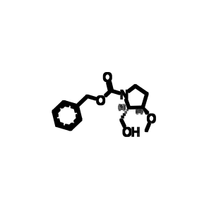 CO[C@@H]1CCN(C(=O)OCc2ccccc2)[C@H]1CO